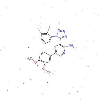 COc1ccc(-c2cnc(N)c(-c3nnnn3-c3cccc(F)c3F)c2)cc1OC